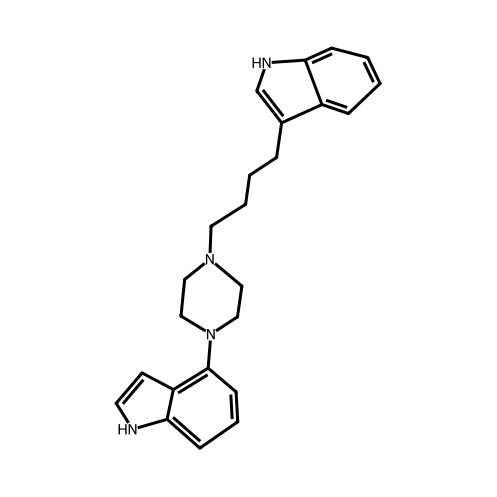 c1ccc2c(CCCCN3CCN(c4cccc5[nH]ccc45)CC3)c[nH]c2c1